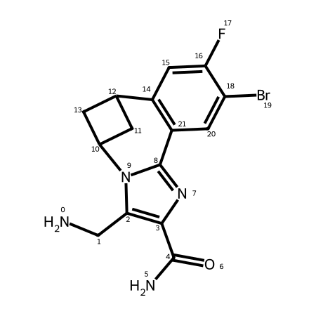 NCc1c(C(N)=O)nc2n1C1CC(C1)c1cc(F)c(Br)cc1-2